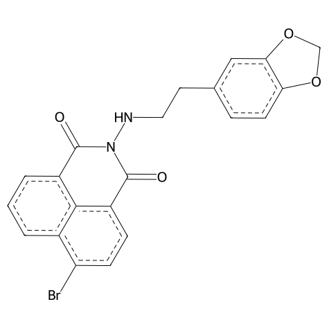 O=C1c2cccc3c(Br)ccc(c23)C(=O)N1NCCc1ccc2c(c1)OCO2